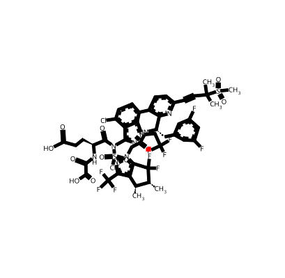 C[C@@H]1c2c(C(F)(F)F)nn(CC(=O)N[C@@H](Cc3cc(F)cc(F)c3)c3nc(C#CC(C)(C)S(C)(=O)=O)ccc3-c3ccc(Cl)c4c(N(C(=O)[C@H](CCC(=O)O)NC(=O)C(=O)O)S(C)(=O)=O)nn(CC(F)(F)F)c34)c2C(F)(F)[C@@H]1C